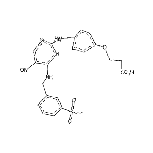 CS(=O)(=O)c1cccc(CNc2nc(Nc3ccc(OCCC(=O)O)cc3)ncc2N=O)c1